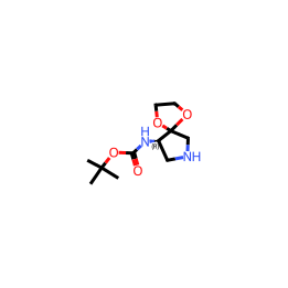 CC(C)(C)OC(=O)N[C@@H]1CNCC12OCCO2